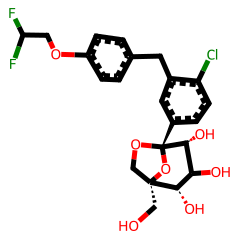 OC[C@]12CO[C@@](c3ccc(Cl)c(Cc4ccc(OCC(F)F)cc4)c3)(O1)[C@H](O)C(O)[C@@H]2O